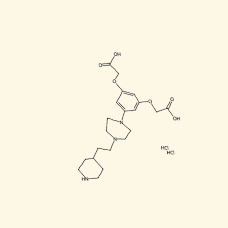 Cl.Cl.O=C(O)COc1cc(OCC(=O)O)cc(N2CCN(CCC3CCNCC3)CC2)c1